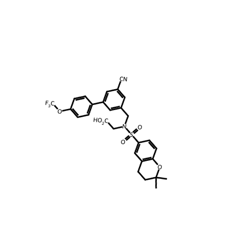 CC1(C)CCc2cc(S(=O)(=O)N(CC(=O)O)Cc3cc(C#N)cc(-c4ccc(OC(F)(F)F)cc4)c3)ccc2O1